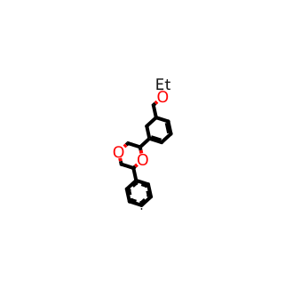 CCOCC1C=CC=C(C2COCC(c3cc[c]cc3)O2)C1